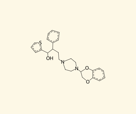 OC(c1cccs1)C(CCN1CCN(C2COc3ccccc3O2)CC1)c1ccccc1